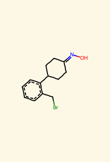 ON=C1CCC(c2ccccc2CBr)CC1